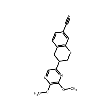 COc1ncc(C2CSc3cc(C#N)ccc3C2)nc1OC